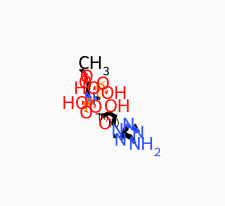 CCOOCCN(CP(=O)(O)O)P(=O)(O)OC[C@H]1O[C@@H](n2cnc3c(N)ncnc32)CC1O